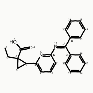 CCC1(C(=O)O)CC1c1cccc(N=C(c2ccccc2)c2ccccc2)n1